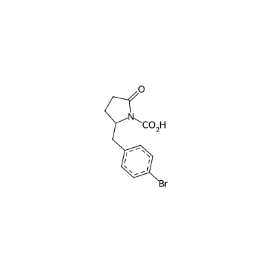 O=C(O)N1C(=O)CCC1Cc1ccc(Br)cc1